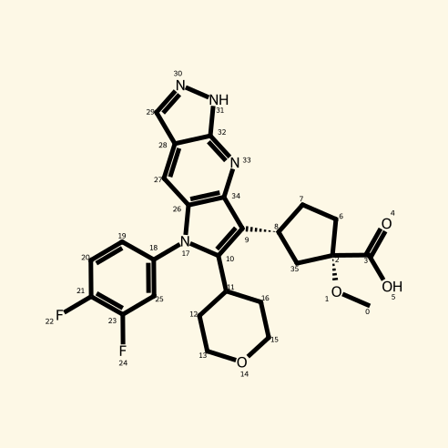 CO[C@@]1(C(=O)O)CC[C@@H](c2c(C3CCOCC3)n(-c3ccc(F)c(F)c3)c3cc4cn[nH]c4nc23)C1